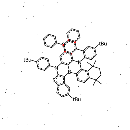 CC(C)(C)c1ccc(N2c3cc(N(c4ccccc4)c4ccccc4)cc4c3B(c3ccc5c(c3N4c3ccc(C(C)(C)C)cc3-c3ccccc3)C(C)(C)CCC5(C)C)c3c2sc2ccc(C(C)(C)C)cc32)cc1